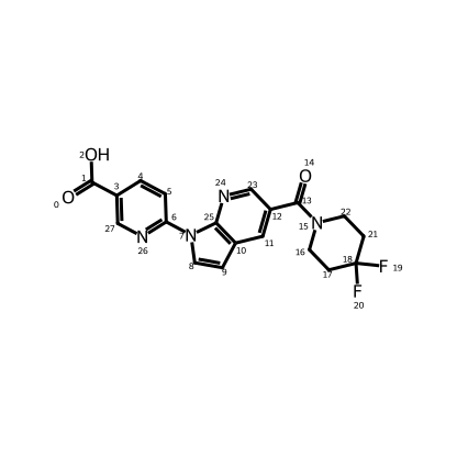 O=C(O)c1ccc(-n2ccc3cc(C(=O)N4CCC(F)(F)CC4)cnc32)nc1